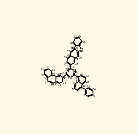 c1ccc(-c2cccc3c(-c4nc(-c5ccc6cc7c(cc6c5)oc5ccccc57)nc(-c5ccc6ccc7ccccc7c6c5)n4)cccc23)cc1